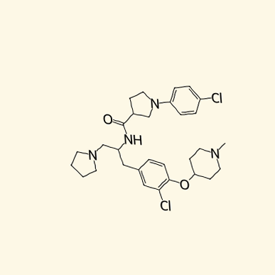 CN1CCC(Oc2ccc(CC(CN3CCCC3)NC(=O)C3CCN(c4ccc(Cl)cc4)C3)cc2Cl)CC1